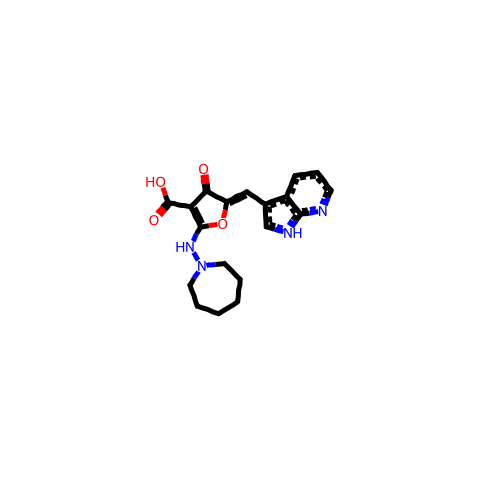 O=C(O)C1=C(NN2CCCCCC2)OC(=Cc2c[nH]c3ncccc23)C1=O